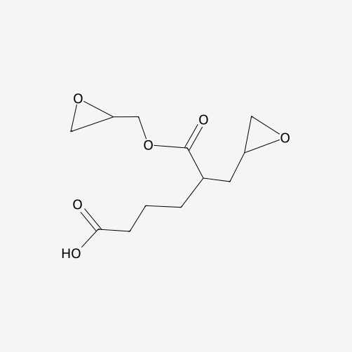 O=C(O)CCCC(CC1CO1)C(=O)OCC1CO1